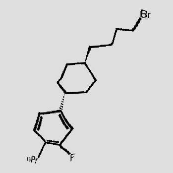 CCCc1ccc([C@H]2CC[C@H](CCCCBr)CC2)cc1F